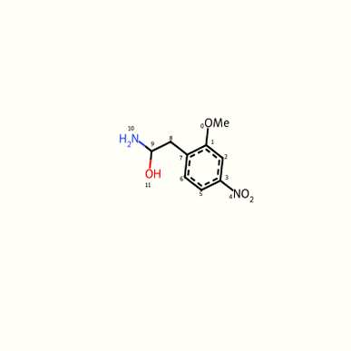 COc1cc([N+](=O)[O-])ccc1CC(N)O